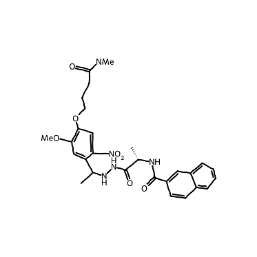 CNC(=O)CCCOc1cc([N+](=O)[O-])c(C(C)NNC(=O)[C@H](C)NC(=O)c2ccc3ccccc3c2)cc1OC